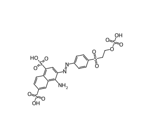 Nc1c(/N=N/c2ccc(S(=O)(=O)CCOS(=O)(=O)O)cc2)cc(S(=O)(=O)O)c2ccc(S(=O)(=O)O)cc12